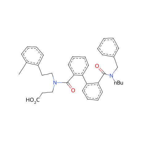 CCCCN(Cc1ccccc1)C(=O)c1ccccc1-c1ccccc1C(=O)N(CCC(=O)O)CCc1ccccc1C